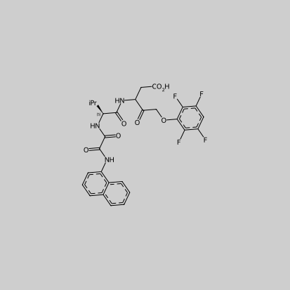 CC(C)[C@H](NC(=O)C(=O)Nc1cccc2ccccc12)C(=O)NC(CC(=O)O)C(=O)COc1c(F)c(F)cc(F)c1F